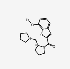 CCOc1cccc2cc(C(=O)N3CCC[C@H]3CN3CCCC3)oc12